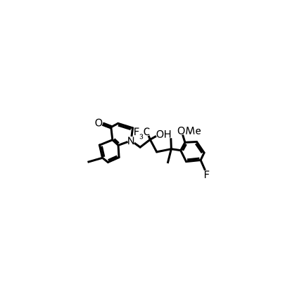 COc1ccc(F)cc1C(C)(C)CC(O)(Cn1ccc(=O)c2cc(C)ccc21)C(F)(F)F